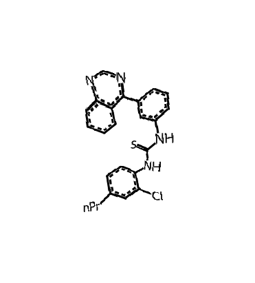 CCCc1ccc(NC(=S)Nc2cccc(-c3ncnc4ccccc34)c2)c(Cl)c1